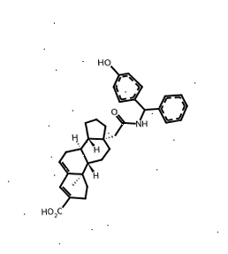 C[C@]12CCC(C(=O)O)=CC1=CC[C@H]1[C@@H]3CCC[C@@]3(CC(=O)NC(c3ccccc3)c3ccc(O)cc3)CC[C@@H]12